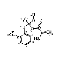 C=C(C)C(=O)OC(C)(OCC)Oc1ccccc1CCCCCCCC